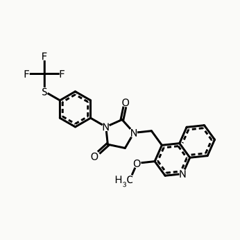 COc1cnc2ccccc2c1CN1CC(=O)N(c2ccc(SC(F)(F)F)cc2)C1=O